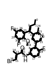 CC/C=C(\c1cc(-c2cc(NC(=O)/C(C)=C/Br)ccc2F)cnc1C)c1cc(F)cc(F)c1OC